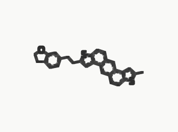 Cc1cc2c(ccc3cc4c(ccc5sc(CCc6ccc7c(c6)OCC7)cc54)cc32)s1